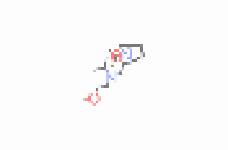 COCCN(CC1OCC2CCC1N2C(C)C)C(C)C